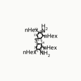 CCCCCCc1cc(Sc2cc(CCCCCC)c(N)c(CCCCCC)c2)cc(CCCCCC)c1N